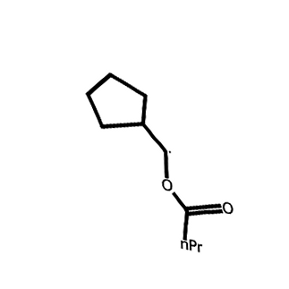 CCCC(=O)O[CH]C1CCCC1